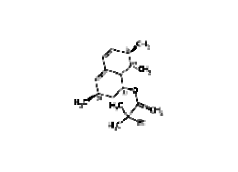 C=C(O[C@H]1C[C@@H](C)C=C2C=C[C@@H](C)[C@H](C)C21)C(C)(C)CC